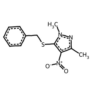 Cc1nn(C)c(SCc2ccccc2)c1[N+](=O)[O-]